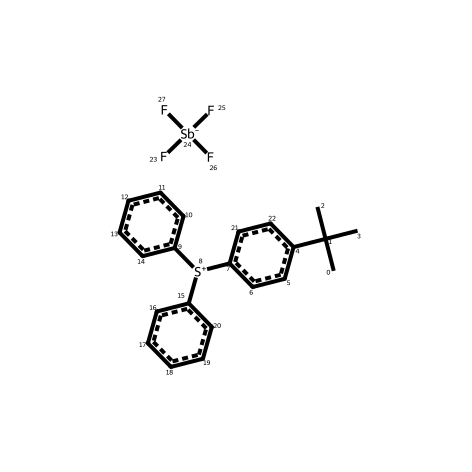 CC(C)(C)c1ccc([S+](c2ccccc2)c2ccccc2)cc1.[F][Sb-]([F])([F])[F]